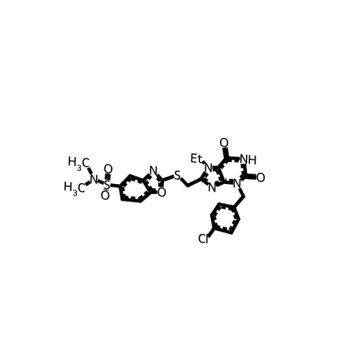 CCn1c(CSc2nc3cc(S(=O)(=O)N(C)C)ccc3o2)nc2c1c(=O)[nH]c(=O)n2Cc1ccc(Cl)cc1